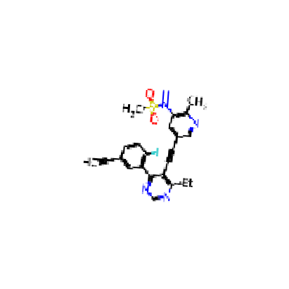 C#Cc1ccc(F)c(-c2ncnc(CC)c2C#Cc2cnc(C)c(NS(C)(=O)=O)c2)c1